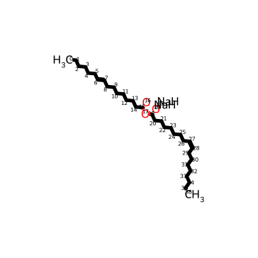 CCCCCCC=CCCCCCCCC(=O)OC(=O)CCCCCCC/C=C\CCCCCCCC.[NaH].[NaH]